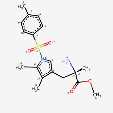 COC(=O)[C@@](C)(N)Cc1cn(S(=O)(=O)c2ccc(C)cc2)c(C)c1C